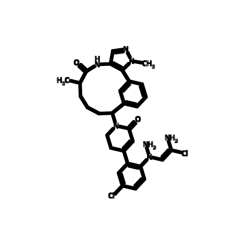 CC1CCCC(N2CCC(c3cc(Cl)ccc3N(N)/C=C(\N)Cl)=CC2=O)c2cccc(c2)-c2c(cnn2C)NC1=O